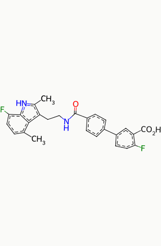 Cc1[nH]c2c(F)ccc(C)c2c1CCNC(=O)c1ccc(-c2ccc(F)c(C(=O)O)c2)cc1